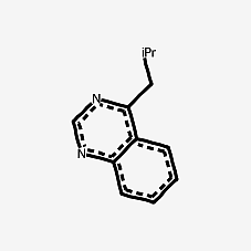 CC(C)Cc1ncnc2ccccc12